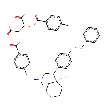 CN(C)C[C@@H](c1ccc(OCc2ccccc2)cc1)C1(O)CCCCC1.Cc1ccc(C(=O)O[C@H](C(=O)O)[C@H](OC(=O)c2ccc(C)cc2)C(=O)O)cc1